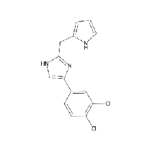 Clc1ccc(-c2c[nH]c(Cc3ccc[nH]3)n2)cc1Cl